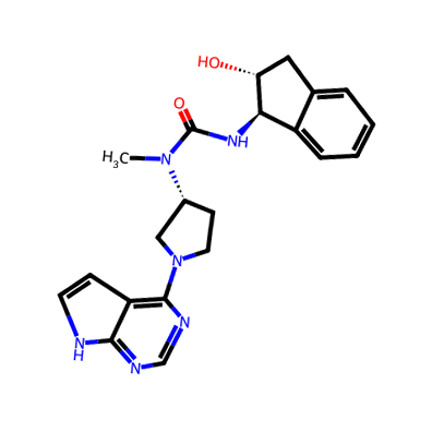 CN(C(=O)N[C@@H]1c2ccccc2C[C@H]1O)[C@@H]1CCN(c2ncnc3[nH]ccc23)C1